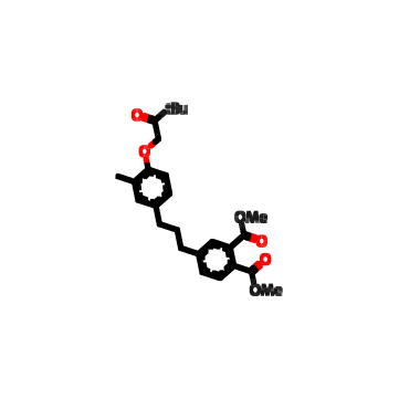 COC(=O)c1ccc(CCCc2ccc(OCC(=O)C(C)(C)C)c(C)c2)cc1C(=O)OC